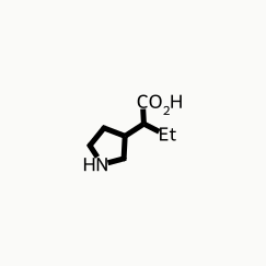 CCC(C(=O)O)C1CCNC1